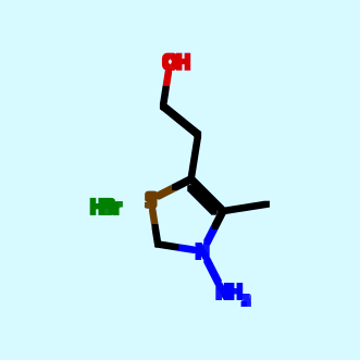 Br.CC1=C(CCO)SCN1N